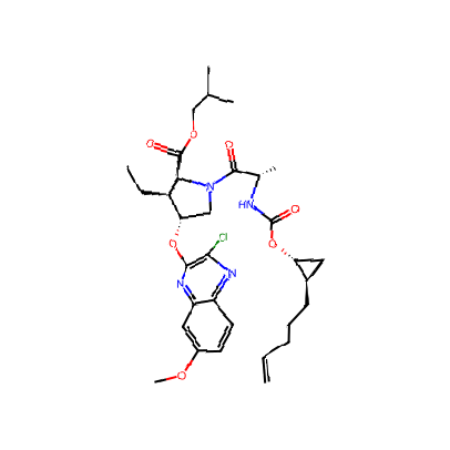 C=CCCC[C@@H]1C[C@H]1OC(=O)N[C@@H](C)C(=O)N1C[C@H](Oc2nc3cc(OC)ccc3nc2Cl)[C@@H](CC)[C@H]1C(=O)OCC(C)C